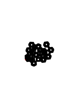 N#Cc1c(-n2c3ccccc3c3ccccc32)c(-n2c3ccccc3c3ccccc32)c(C#N)c(-n2c3ccc(-c4c(-c5ccccc5)cccc4-c4ccccc4)cc3c3ccc4c5ccccc5oc4c32)c1-n1c2ccccc2c2ccccc21